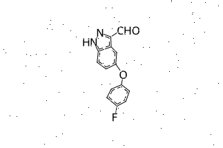 O=Cc1n[nH]c2ccc(Oc3ccc(F)cc3)cc12